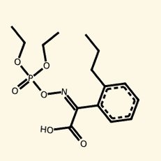 CCCc1ccccc1C(=NOP(=O)(OCC)OCC)C(=O)O